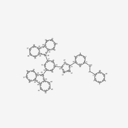 c1ccc(COc2cccc(-c3nnc(-c4cc(-n5c6ccccc6c6ccccc65)cc(-n5c6ccccc6c6ccccc65)c4)o3)c2)cc1